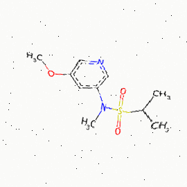 COc1cncc(N(C)S(=O)(=O)C(C)C)c1